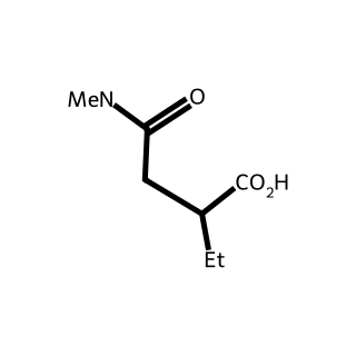 CCC(CC(=O)NC)C(=O)O